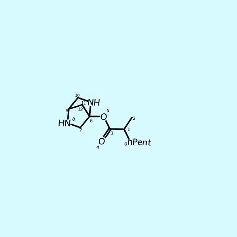 CCCCCC(C)C(=O)OC12CNC(CN1)C2